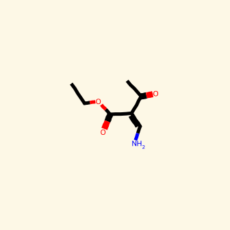 CCOC(=O)/C(=C\N)C(C)=O